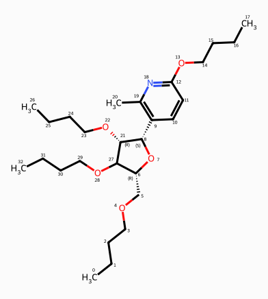 CCCCOC[C@H]1O[C@@H](c2ccc(OCCCC)nc2C)[C@@H](OCCCC)C1OCCCC